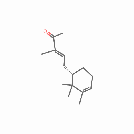 CC(=O)/C(C)=C/C[C@@H]1CCC=C(C)C1(C)C